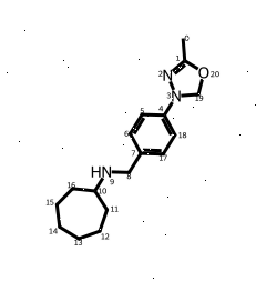 CC1=NN(c2ccc(CNC3CCCCCC3)cc2)CO1